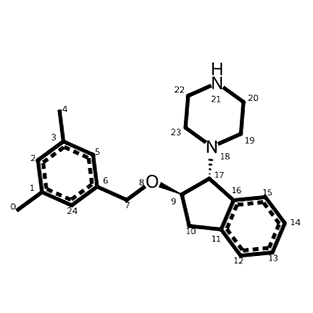 Cc1cc(C)cc(CO[C@@H]2Cc3ccccc3[C@H]2N2CCNCC2)c1